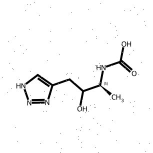 C[C@H](NC(=O)O)C(O)Cc1c[nH]nn1